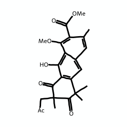 COC(=O)c1c(C)cc2cc3c(c(O)c2c1OC)C(=O)C(C)(CC(C)=O)C(=O)C3(C)C